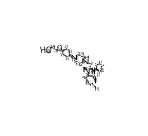 N#Cc1ncc2nc(CN3CCN(c4ccc(OCCO)cc4)CC3)n(-c3ccccc3)c2n1